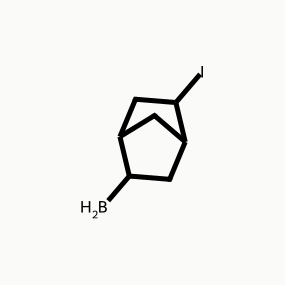 BC1CC2CC1CC2I